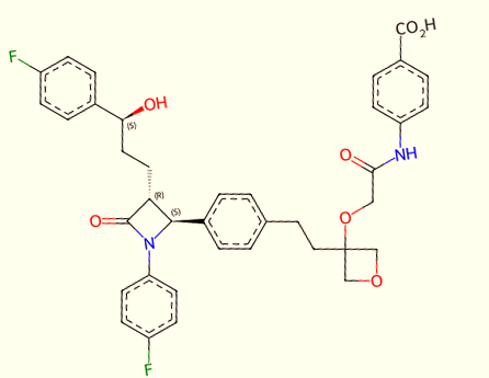 O=C(COC1(CCc2ccc([C@@H]3[C@@H](CC[C@H](O)c4ccc(F)cc4)C(=O)N3c3ccc(F)cc3)cc2)COC1)Nc1ccc(C(=O)O)cc1